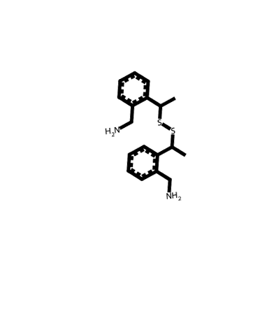 CC(SSC(C)c1ccccc1CN)c1ccccc1CN